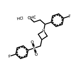 Cl.O=CCCC(c1ccc(F)cc1)N1CC(CS(=O)(=O)c2ccc(F)cc2)C1